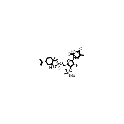 C=C(C)[C@@H]1CC[C@]2(C)S[P@@](=S)(OC[C@H]3O[C@@H](n4cc(C)c(=O)[nH]c4=O)[C@H](F)C3O[Si](C)(C)C(C)(C)C)O[C@H]2C1